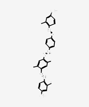 Cc1cc(O)ccc1N=Nc1ccc(N=Nc2cc(C)c(N=Nc3ccc(O)cc3C)cc2C)cc1